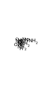 Cc1cn2nc([C@@H]3CCCCN3C(=O)c3ccccc3C(N)NNN)cc2nc1N1CC[C@H](N)C1